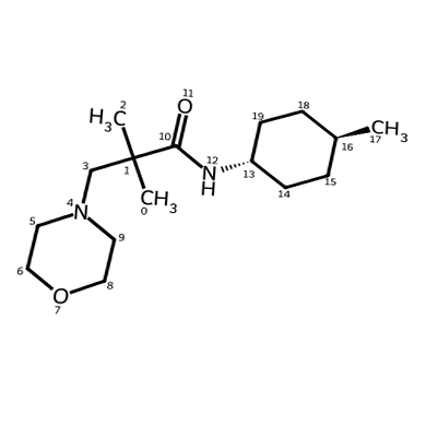 CC(C)(CN1CCOCC1)C(=O)N[C@H]1CC[C@H](C)CC1